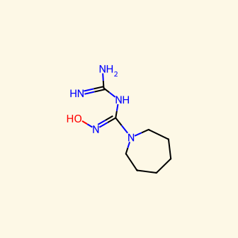 N=C(N)NC(=NO)N1CCCCCC1